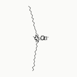 CCCCCCCCCCCCCCCCn1c(C)c[n+](CCCCCCCCCCCCCCCC)c1-c1ccccc1.[Cl-]